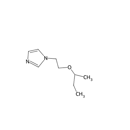 CCC(C)OCCn1ccnc1